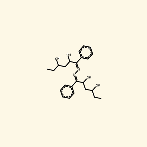 CCC(O)CC(O)C(=NN=C(c1ccccc1)C(O)CC(O)CC)c1ccccc1